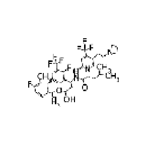 Cc1ccc(F)c(C)c1-c1cc([C@H](CC(=O)O)NC(=O)C(CC(C)C)n2cc(CCN3CCC3)c(C(F)(F)F)cc2=O)c(F)c(C(F)(F)F)c1